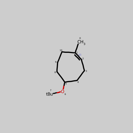 C/C1=C/CCC(OC(C)(C)C)CCC1